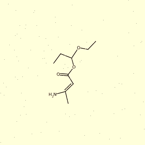 CCOC(CC)OC(=O)C=C(C)N